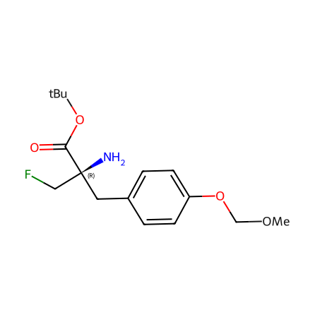 COCOc1ccc(C[C@](N)(CF)C(=O)OC(C)(C)C)cc1